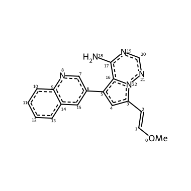 COC=Cc1cc(-c2cnc3ccccc3c2)c2c(N)ncnn12